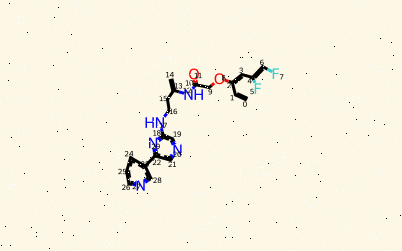 C=C/C(=C\C(F)=C\F)OCC(=O)NC(=C)CCNc1cncc(-c2cccnc2)n1